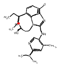 CCC(CC)c1ccc(Cl)c2nc(Nc3cnc(N(C)C)cc3C)n(CC(C)O)c12